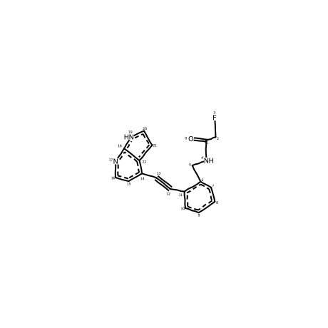 O=C(CF)NCc1ccccc1C#Cc1ccnc2[nH]ccc12